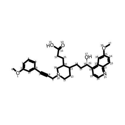 COc1cccc(C#CCN2CCC(CC[C@H](O)c3ccnc4ccc(OC)cc34)C(CCC(=O)O)C2)c1